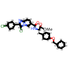 COC(=O)[C@H](Cc1ccc(OCc2ccccc2)cc1)NC(=O)c1ccc2nc(-c3ccc(Cl)cc3)c(Cl)n2c1